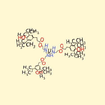 CCC(C)c1cc(CC(=O)OCCN[C]([U])(CNCCOC(=O)CCc2cc(C(C)(C)C)c(O)c(C(C)(C)C)c2)CNCCOC(=O)CCc2cc(C(C)(C)C)c(O)c(C(C)(C)C)c2)cc(C(C)(C)C)c1O